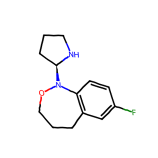 Fc1ccc2c(c1)CCCON2[C@H]1CCCN1